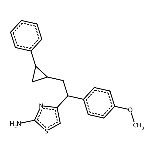 COc1ccc(C(CC2CC2c2ccccc2)c2csc(N)n2)cc1